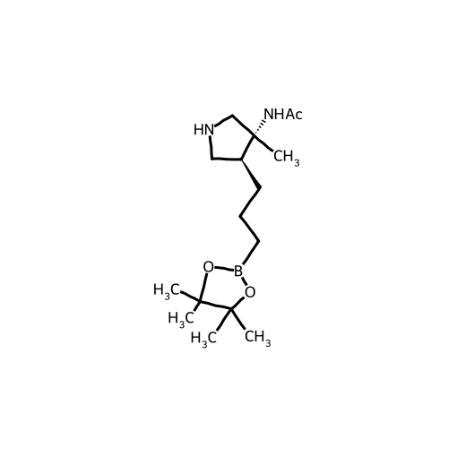 CC(=O)N[C@@]1(C)CNC[C@@H]1CCCB1OC(C)(C)C(C)(C)O1